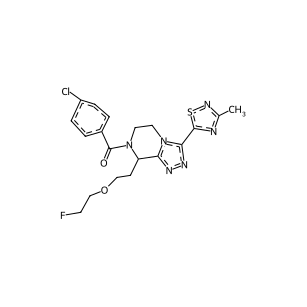 Cc1nsc(-c2nnc3n2CCN(C(=O)c2ccc(Cl)cc2)C3CCOCCF)n1